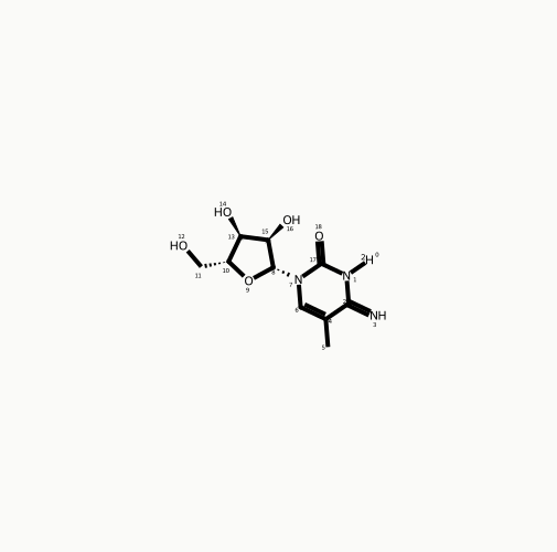 [2H]n1c(=N)c(C)cn([C@@H]2O[C@H](CO)[C@@H](O)[C@H]2O)c1=O